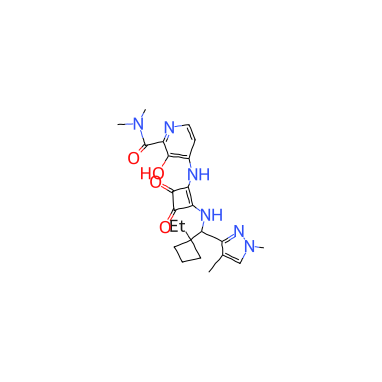 CCC1(C(Nc2c(Nc3ccnc(C(=O)N(C)C)c3O)c(=O)c2=O)c2nn(C)cc2C)CCC1